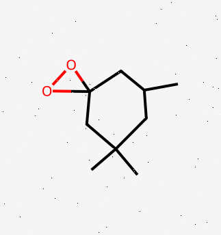 CC1CC(C)(C)CC2(C1)OO2